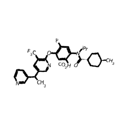 CC(c1cccnc1)c1cnc(Oc2cc(C(=O)O)c(N(C(=O)[C@H]3CC[C@H](C)CC3)C(C)C)cc2F)c(C(F)(F)F)c1